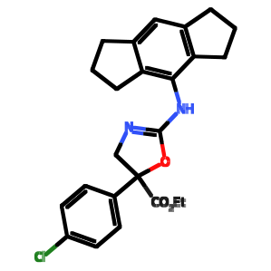 CCOC(=O)C1(c2ccc(Cl)cc2)CN=C(Nc2c3c(cc4c2CCC4)CCC3)O1